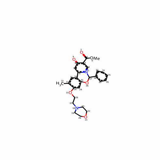 COC(=O)c1cn2c(cc1=O)-c1cc(C)c(OCCN3CCOCC3)cc1OC2c1ccccc1